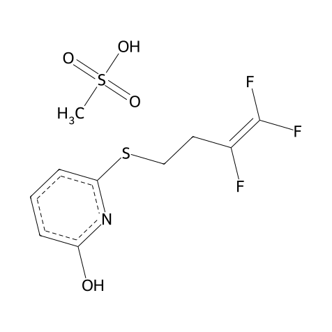 CS(=O)(=O)O.Oc1cccc(SCCC(F)=C(F)F)n1